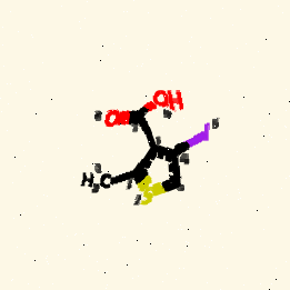 Cc1scc(I)c1C(=O)O